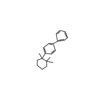 CC1(C)CCCCC1(C)c1ccc(-c2ccccc2)cc1